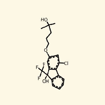 CC(C)(O)CCCOc1cc(Cl)c2c(c1)[C@@](O)(C(F)(F)F)c1ccccc1-2